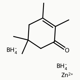 CC1=C(C)C(=O)CC(C)(C)C1.[BH4-].[BH4-].[Zn+2]